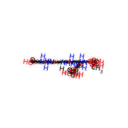 C[C@@H]1O[C@@H](OCCNCCNC(CCCCNCCCCNCCCCCCNCCNCCNCCCCCC(=O)O)C(=O)NCCO[C@@H]2O[C@@H](C)[C@@H](O)[C@@H](O)[C@@H]2O)[C@@H](O)[C@H](O)[C@@H]1O